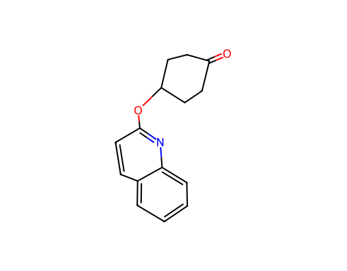 O=C1CCC(Oc2ccc3ccccc3n2)CC1